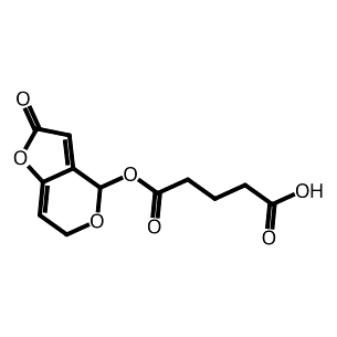 O=C(O)CCCC(=O)OC1OCC=C2OC(=O)C=C21